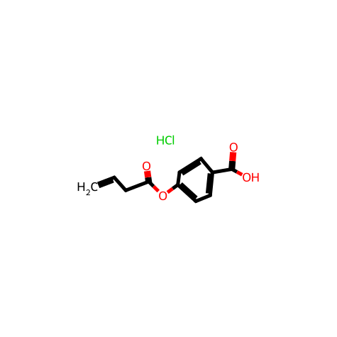 C=CCC(=O)Oc1ccc(C(=O)O)cc1.Cl